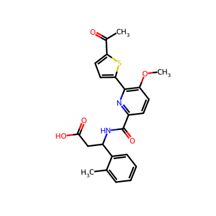 COc1ccc(C(=O)NC(CC(=O)O)c2ccccc2C)nc1-c1ccc(C(C)=O)s1